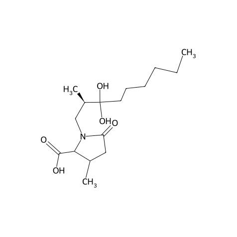 CCCCCCC(O)(O)[C@H](C)CN1C(=O)CC(C)C1C(=O)O